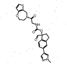 Cn1cc(-c2ccc3c(c2)CC[C@]3(C=O)OC(=O)NCC(=O)N2CCOc3ccsc3C2)cn1